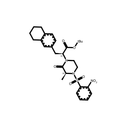 C[C@H]1C(=O)N([C@@H](Cc2ccc3c(c2)CCCC3)C(=O)OC(C)(C)C)CCN1S(=O)(=O)c1ccccc1[N+](=O)[O-]